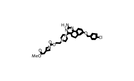 COC(=O)CC1CN(C(=O)OCCN2CCN(c3nc(N)nc4c3CCc3cc(OCc5ccc(Cl)cc5)ccc3-4)CC2)C1